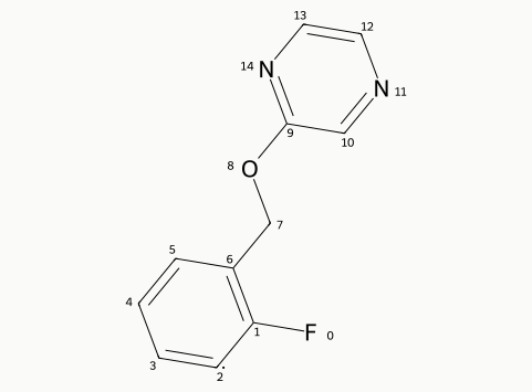 Fc1[c]cccc1COc1cnccn1